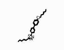 CCC=CCCOc1ccc(-c2ccc(-c3nnc(CCCCC)s3)cc2)cc1